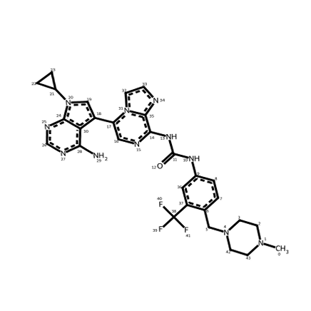 CN1CCN(Cc2ccc(NC(=O)Nc3ncc(-c4cn(C5CC5)c5ncnc(N)c45)n4ccnc34)cc2C(F)(F)F)CC1